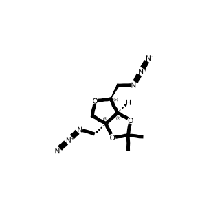 CC1(C)O[C@@H]2[C@H](CN=[N+]=[N-])OC[C@]2(CN=[N+]=[N-])O1